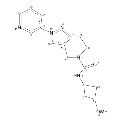 COC1CC(NC(=O)N2CCc3nn(-c4cccnc4)cc3C2)C1